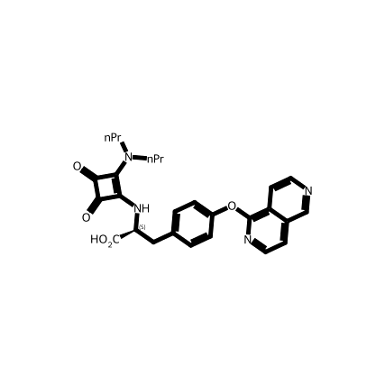 CCCN(CCC)c1c(N[C@@H](Cc2ccc(Oc3nccc4cnccc34)cc2)C(=O)O)c(=O)c1=O